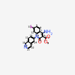 COC(=O)c1c(N)c2ccc(I)cc2n(-c2ccc3cnccc3c2)c1=O